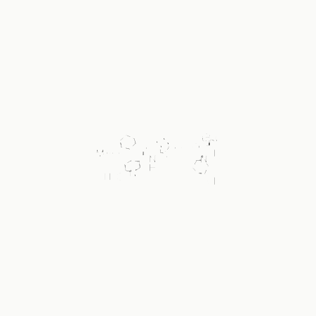 COc1ccccc1-c1cc(C)ncc1C(=O)Nc1nnc(OC[C@H](O[Si](C)(C)C(C)(C)C)c2ccc(Cl)cn2)s1